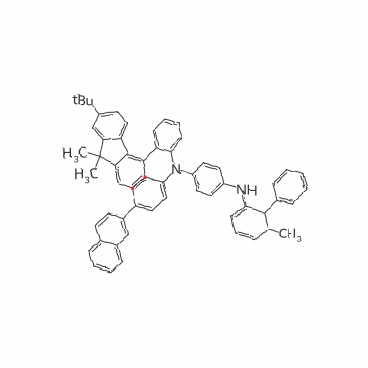 CC1C=CC=C(Nc2ccc(N(c3ccc(-c4ccc5ccccc5c4)cc3)c3ccccc3-c3cccc4c3-c3ccc(C(C)(C)C)cc3C4(C)C)cc2)C1c1ccccc1